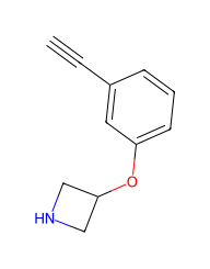 C#Cc1cccc(OC2CNC2)c1